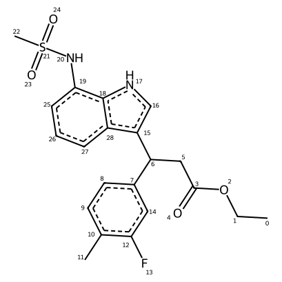 CCOC(=O)CC(c1ccc(C)c(F)c1)c1c[nH]c2c(NS(C)(=O)=O)cccc12